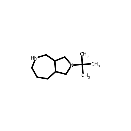 CC(C)(C)N1CC2CCCNCC2C1